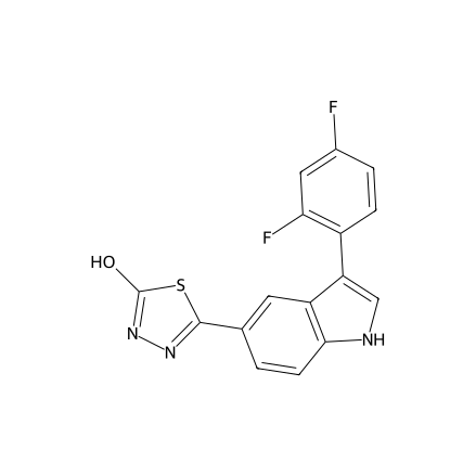 Oc1nnc(-c2ccc3[nH]cc(-c4ccc(F)cc4F)c3c2)s1